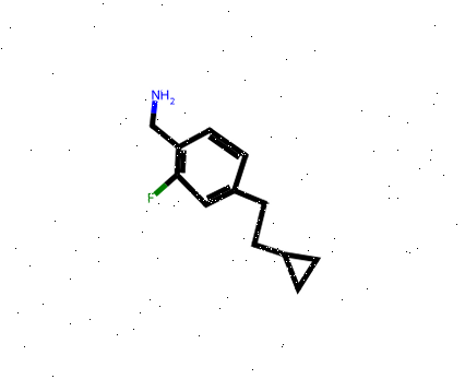 NCc1ccc([CH]CC2CC2)cc1F